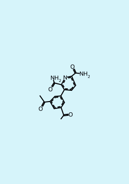 CC(=O)c1cc(C(C)=O)cc(-c2ccc(C(N)=O)nc2C(N)=O)c1